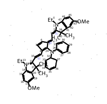 CCN1/C(=C/C=C2\C=CC(/C=C/C3=[N+](CC)c4ccc(OC)cc4C3(C)C)=C2N(c2ccccc2)C2C=CC=CC2)C(C)(C)c2cc(OC)ccc21